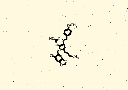 CCCCc1nc(SCc2ccc(OC)cc2)c(OC(=O)O)n1Cc1cc2c(cc1Cl)OCO2